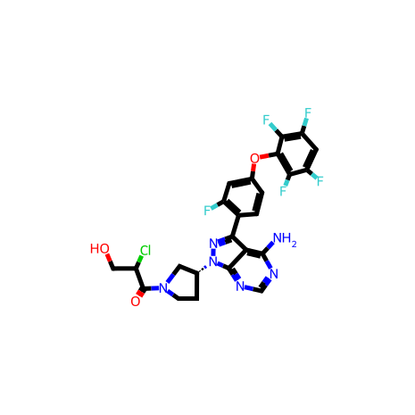 Nc1ncnc2c1c(-c1ccc(Oc3c(F)c(F)cc(F)c3F)cc1F)nn2[C@@H]1CCN(C(=O)C(Cl)CO)C1